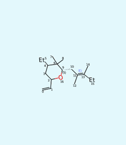 C=CC1CC(CC)C(C)(C)[C@H](C/C(C)=C(\C)CC)O1